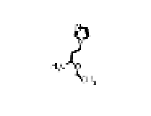 CCOC(C)CCn1ccnc1